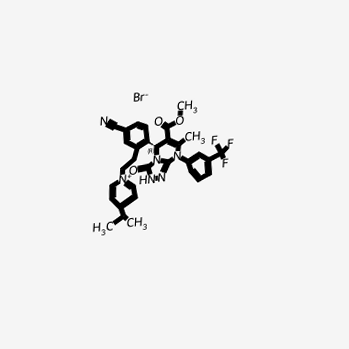 COC(=O)C1=C(C)N(c2cccc(C(F)(F)F)c2)c2n[nH]c(=O)n2[C@@H]1c1ccc(C#N)cc1CC[n+]1ccc(C(C)C)cc1.[Br-]